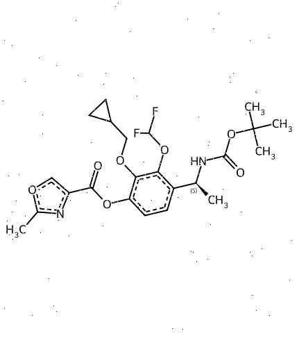 Cc1nc(C(=O)Oc2ccc([C@H](C)NC(=O)OC(C)(C)C)c(OC(F)F)c2OCC2CC2)co1